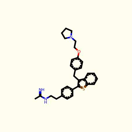 CC(=N)NCCc1ccc(-c2sc3ccccc3c2Cc2ccc(OCCN3CCCC3)cc2)cc1